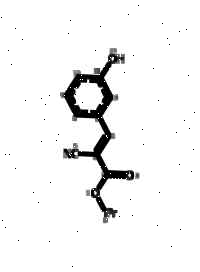 CC(C)OC(=O)/C(C#N)=C/c1cccc(O)c1